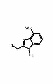 COc1cccc2c1nc(CCl)n2C